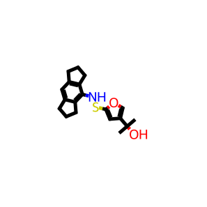 CC(C)(O)c1coc(SNc2c3c(cc4c2CCC4)CCC3)c1